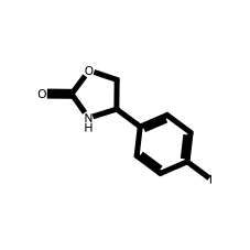 O=C1NC(c2ccc(I)cc2)CO1